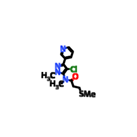 CSCCC(=O)N(C)c1c(Cl)c(-c2cccnc2)nn1C